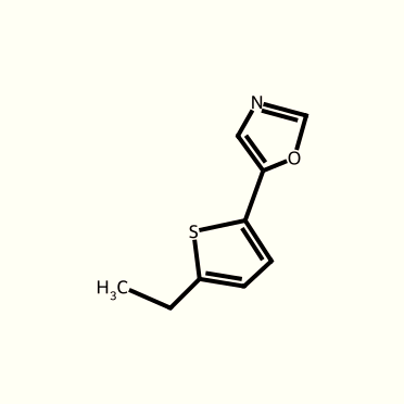 CCc1ccc(-c2cnco2)s1